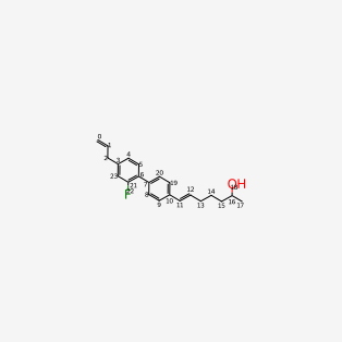 C=CCc1ccc(-c2ccc(/C=C/CCCC(C)O)cc2)c(F)c1